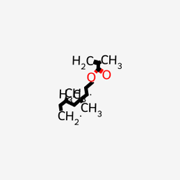 [CH2]CC(C)CC(C)(C)[CH]CCOC(=O)C(=C)C